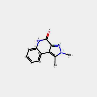 CCc1c2c(nn1C(C)(C)C)c(=O)[nH]c1ccccc12